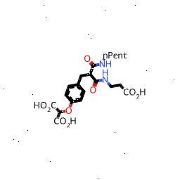 CCCCCNC(=O)C(Cc1ccc(OC(C(=O)O)C(=O)O)cc1)C(=O)NCCC(=O)O